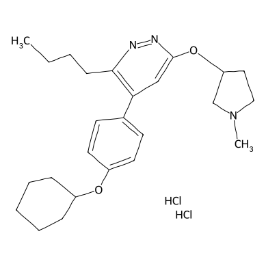 CCCCc1nnc(OC2CCN(C)C2)cc1-c1ccc(OC2CCCCC2)cc1.Cl.Cl